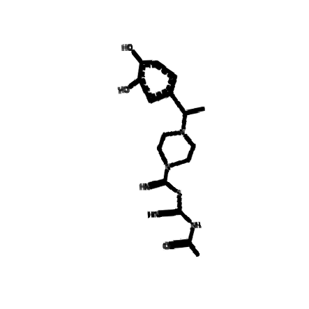 CC(=O)NC(=N)SC(=N)N1CCN(C(C)c2ccc(O)c(O)c2)CC1